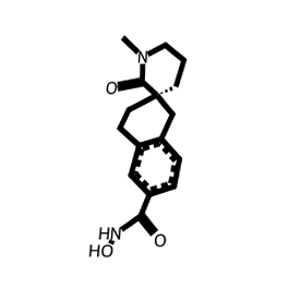 CN1CCC[C@]2(CCc3cc(C(=O)NO)ccc3C2)C1=O